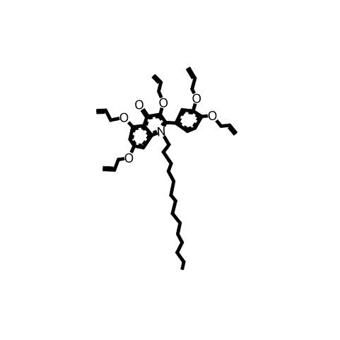 C=CCOc1cc(OCC=C)c2c(=O)c(OCC=C)c(-c3ccc(OCC=C)c(OCC=C)c3)n(CCCCCCCCCCCCCC)c2c1